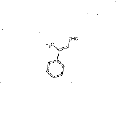 C/C(=C\C=O)c1ccccc1